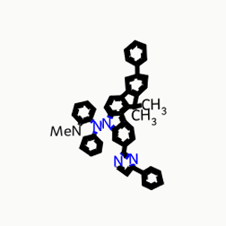 CNc1ccccc1N(c1ccccc1)n1c2cc(-c3nccc(-c4ccccc4)n3)ccc2c2c3c(ccc21)-c1cc(-c2ccccc2)ccc1C3(C)C